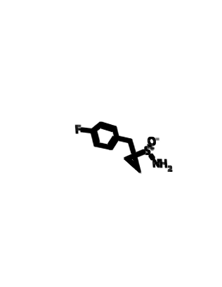 N[S+]([O-])C1(Cc2ccc(F)cc2)CC1